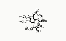 CCCCC(CC)Cc1ccc(C(=O)O)c(C(=O)O)c1CC(CC)CCCC.COCC(C)O